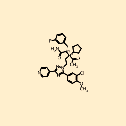 COc1ccc(-c2nc(-c3ccncc3)nn2CC[N+](C(C)=O)(C2CCCC2)[C@@H](Cc2cccc(F)c2)C(N)=O)cc1Cl